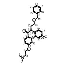 CN(C)CCOc1ccc(C(=O)C(CCOCc2ccccc2)c2ccc(F)cc2)cc1